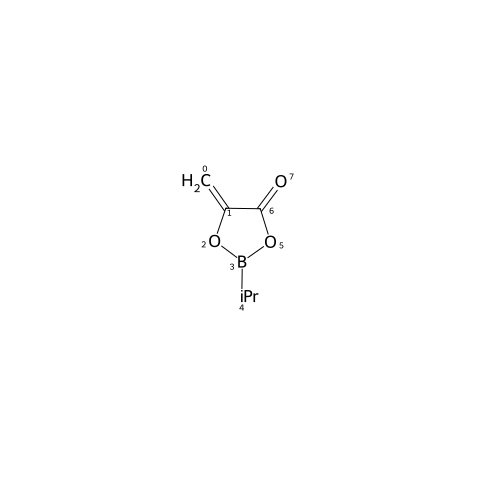 C=C1OB(C(C)C)OC1=O